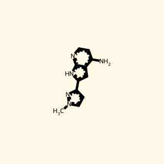 Cn1ccc(-c2cc3c(N)ccnc3[nH]2)n1